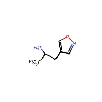 CCOC(=O)C(N)Cc1cnoc1